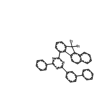 CCC1(CC)c2cccc(-c3nc(-c4ccccc4)nc(-c4cccc(-c5ccccc5)c4)n3)c2-c2ccc3ccccc3c21